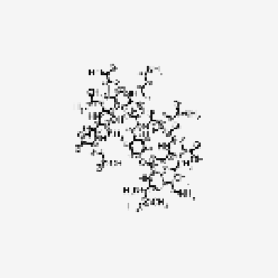 CC(C)C[C@H](NC(=O)[C@H](CCCCN)NC(=O)[C@@H](N)C(C)C)C(=O)N[C@@H](CCC(=O)O)C(=O)N[C@@H](CCC(N)=O)C(=O)N[C@@H](Cc1ccccc1)C(=O)N[C@@H](CCCCN)C(=O)N[C@@H](CCC(=O)O)C(=O)N[C@H](C(=O)N[C@H](C(=O)N[C@@H](CCC(=O)O)C(=O)O)[C@@H](C)O)C(C)C